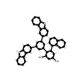 N#Cc1cc(C#N)c(-c2cc(-c3ccc4oc5ccccc5c4c3)cc(-c3ccc4oc5ccccc5c4c3)c2)c(-c2cccc3ccccc23)c1